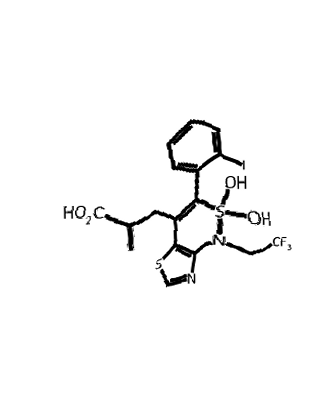 CC(CC1=C(c2ccccc2I)S(O)(O)N(CC(F)(F)F)c2ncsc21)C(=O)O